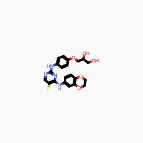 OCC(O)COc1ccc(Nc2ncc(F)c(Nc3ccc4c(c3)OCCO4)n2)cc1